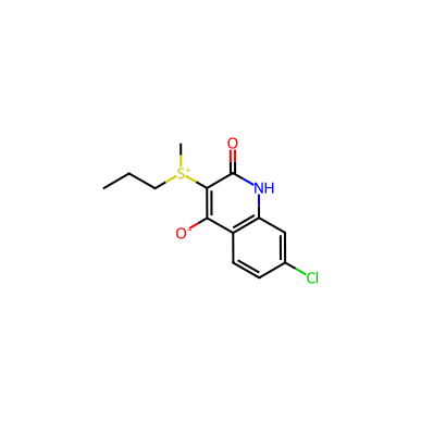 CCC[S+](C)c1c([O-])c2ccc(Cl)cc2[nH]c1=O